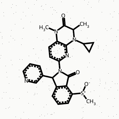 CC1C(=O)N(C)c2ccc(N3C(=O)c4c(cccc4[S+](C)[O-])C3c3cccnc3)nc2N1C1CC1